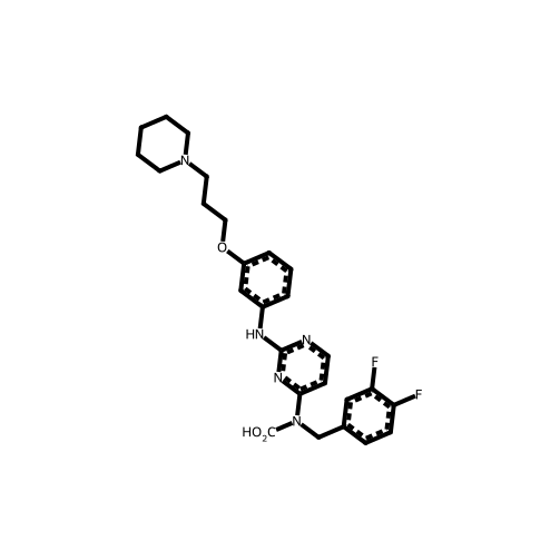 O=C(O)N(Cc1ccc(F)c(F)c1)c1ccnc(Nc2cccc(OCCCN3CCCCC3)c2)n1